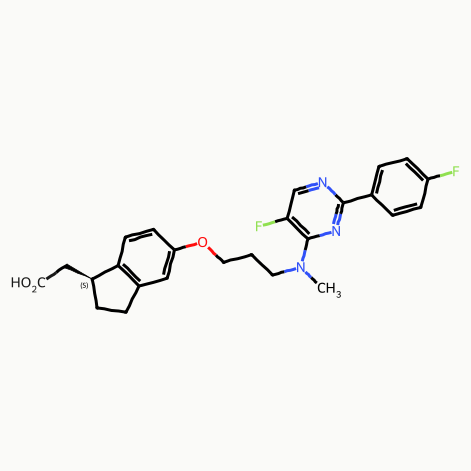 CN(CCCOc1ccc2c(c1)CC[C@H]2CC(=O)O)c1nc(-c2ccc(F)cc2)ncc1F